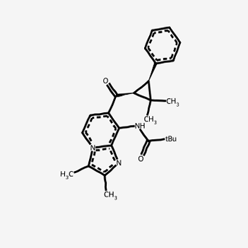 Cc1nc2c(NC(=O)C(C)(C)C)c(C(=O)[C@H]3[C@@H](c4ccccc4)C3(C)C)ccn2c1C